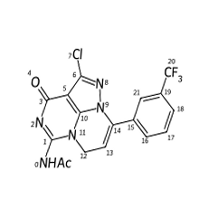 CC(=O)Nc1nc(=O)c2c(Cl)nn3c2n1CC=C3c1cccc(C(F)(F)F)c1